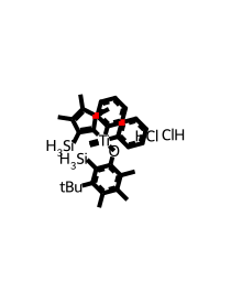 Cl.Cl.[CH2]=[Ti]([O]c1c(C)c(C)c(C)c(C(C)(C)C)c1[SiH3])([C]1=C([SiH3])C(C)=C(C)C1C)([c]1ccccc1)[c]1ccccc1